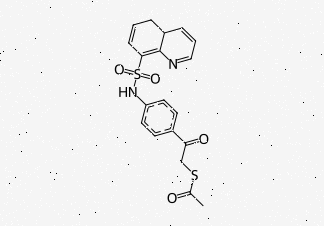 CC(=O)SCC(=O)c1ccc(NS(=O)(=O)C2=C3N=CC=CC3CC=C2)cc1